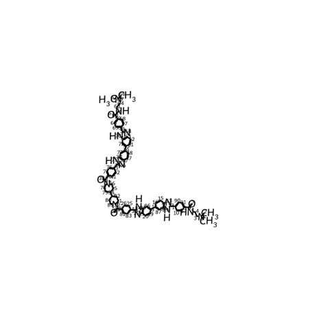 CN(C)CCNC(=O)c1ccc(-c2nc3ccc(-c4ccc5nc(-c6ccc(C(=O)N7CCC(C8CCN(C(=O)c9ccc(-c%10nc%11ccc(-c%12ccc%13nc(-c%14ccc(C(=O)NCCN(C)C)cc%14)[nH]c%13c%12)cc%11[nH]%10)cc9)CC8)CC7)cc6)[nH]c5c4)cc3[nH]2)cc1